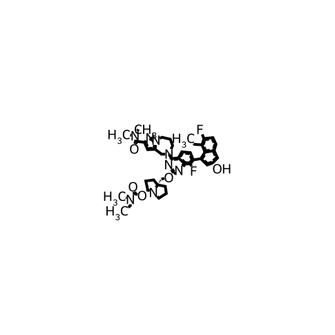 CCc1c(F)ccc2cc(O)cc(-c3ccc4c(N5CCCn6nc(C(=O)N(C)C)cc6C5)nc(OC[C@]56CCCN5[C@@H](OC(=O)N(C)CC)CC6)nc4c3F)c12